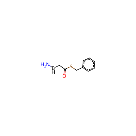 NBCC(=O)SCc1ccccc1